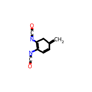 C=C1C=CC(N=C=O)=C(N=C=O)C1